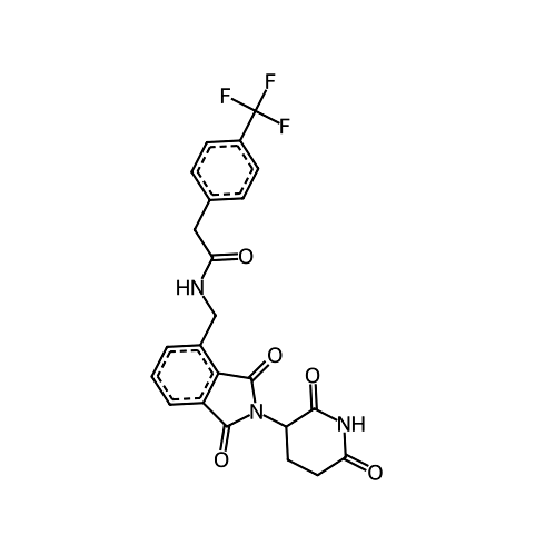 O=C(Cc1ccc(C(F)(F)F)cc1)NCc1cccc2c1C(=O)N(C1CCC(=O)NC1=O)C2=O